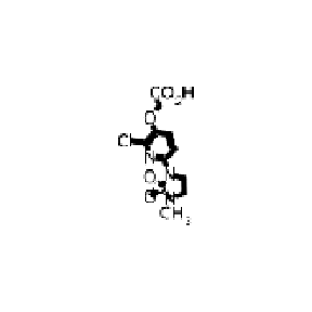 CN1CCN(c2ccc(OCC(=O)O)c(Cl)n2)S1(=O)=O